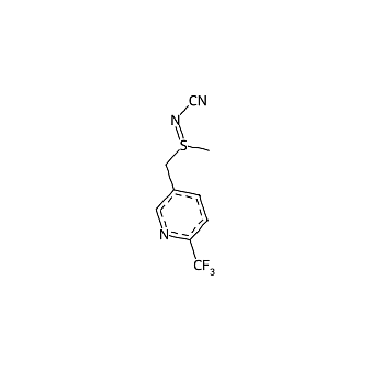 C/S(Cc1ccc(C(F)(F)F)nc1)=N\C#N